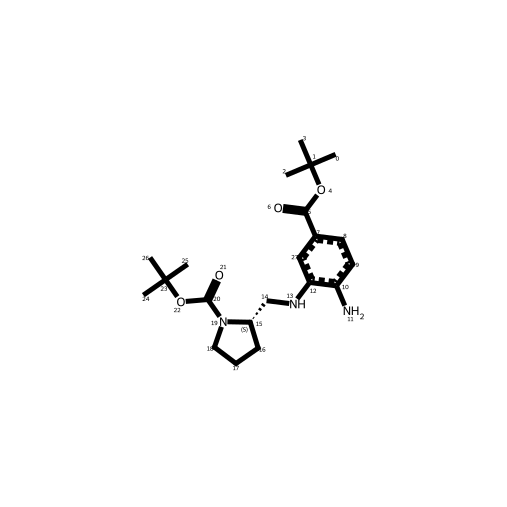 CC(C)(C)OC(=O)c1ccc(N)c(NC[C@@H]2CCCN2C(=O)OC(C)(C)C)c1